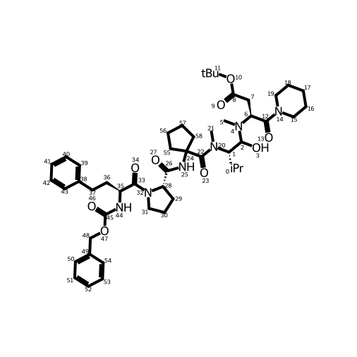 CC(C)[C@@H](C(O)N(C)[C@@H](CC(=O)OC(C)(C)C)C(=O)N1CCCCC1)N(C)C(=O)C1(NC(=O)[C@@H]2CCCN2C(=O)[C@H](CCc2ccccc2)NC(=O)OCc2ccccc2)CCCC1